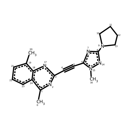 Cc1nc(C#Cc2nc(N3CCCC3)nn2C)nc2c(C)cccc12